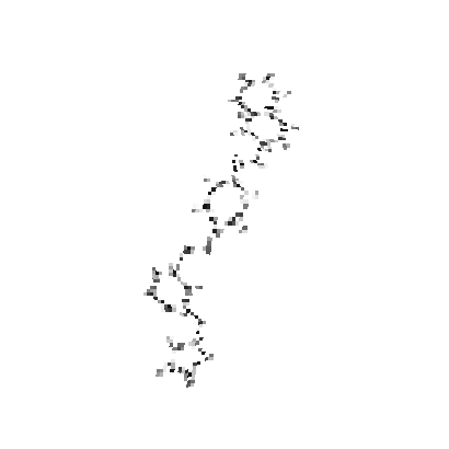 C(=C\c1cccc(Cc2nnn[nH]2)c1)/c1ccc(OCc2ccc3ccccc3n2)cc1